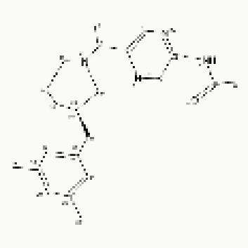 CC(=O)Nc1cnc(C(C)N2CCC[C@H](Cc3cc(C)nc(C)c3)C2)cn1